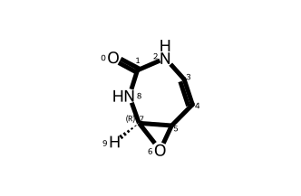 O=C1NC=CC2O[C@H]2N1